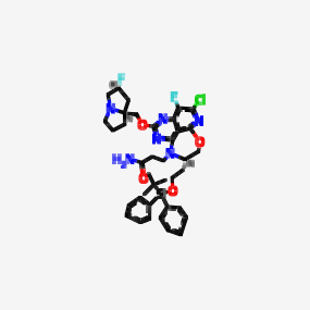 CC(C)(C)[Si](OCC[C@H]1COc2nc(Cl)c(F)c3nc(OC[C@@]45CCCN4C[C@H](F)C5)nc(c23)N1CCC(N)=O)(c1ccccc1)c1ccccc1